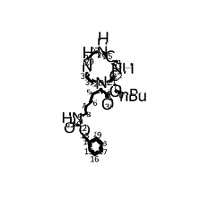 CCCCOC(=O)C(CCCCNC(=O)OCc1ccccc1)N1CCNCCNCCNCC1